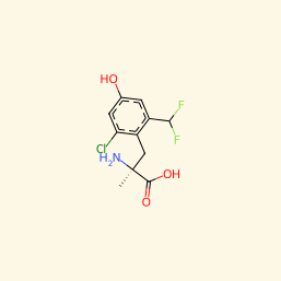 C[C@](N)(Cc1c(Cl)cc(O)cc1C(F)F)C(=O)O